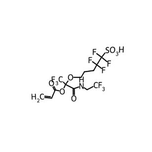 C=CC(=O)OC(OCCCC(F)(F)C(F)(F)S(=O)(=O)O)(C(=O)NCC(F)(F)F)C(F)(F)F